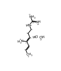 CC=CC(N)=CCCNC(=N)N.Cl.Cl